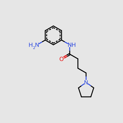 Nc1cccc(NC(=O)CCCN2CCCC2)c1